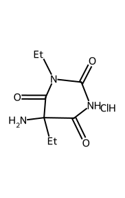 CCN1C(=O)NC(=O)C(N)(CC)C1=O.Cl